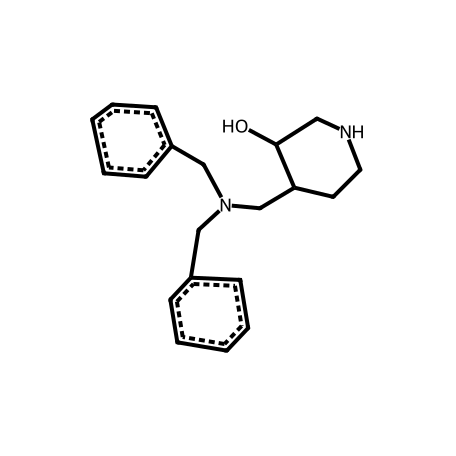 OC1CNCCC1CN(Cc1ccccc1)Cc1ccccc1